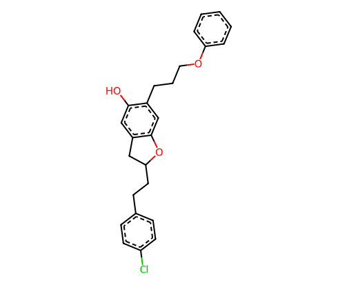 Oc1cc2c(cc1CCCOc1ccccc1)OC(CCc1ccc(Cl)cc1)C2